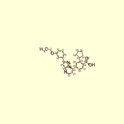 CCOc1cccc(-c2cc3nccc(-c4ccc(C(=O)O)c(C5CCCC5)c4)n3n2)c1